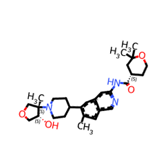 Cc1cc2cnc(NC(=O)[C@H]3CCOC(C)(C)C3)cc2cc1C1CCN([C@@]2(C)COC[C@H]2O)CC1